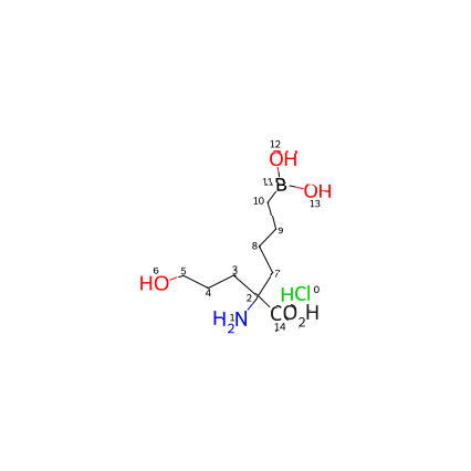 Cl.NC(CCCO)(CCCCB(O)O)C(=O)O